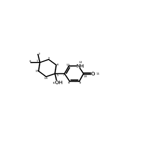 CC1(C)CCC(O)(c2ccc(=O)[nH]c2)CC1